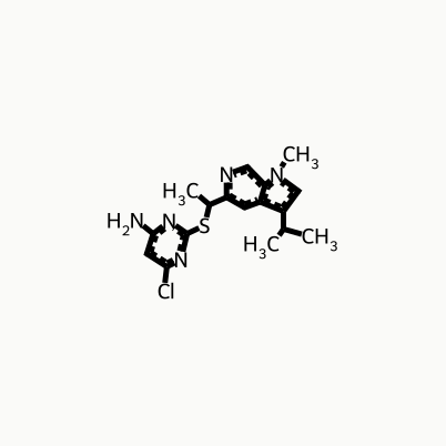 CC(C)c1cn(C)c2cnc(C(C)Sc3nc(N)cc(Cl)n3)cc12